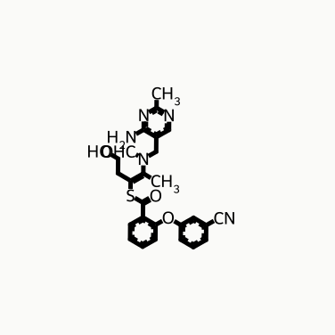 CC(=C(CCO)SC(=O)c1ccccc1Oc1cccc(C#N)c1)N(C=O)Cc1cnc(C)nc1N